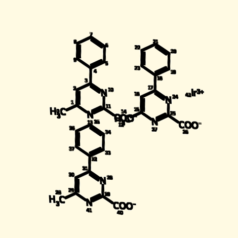 Cc1cc(-c2ccccc2)nc(C(=O)[O-])n1.Cc1cc(-c2ccccc2)nc(C(=O)[O-])n1.Cc1cc(-c2ccccc2)nc(C(=O)[O-])n1.[Ir+3]